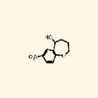 O=[N+]([O-])c1ccc2c(c1)C(O)CCCO2